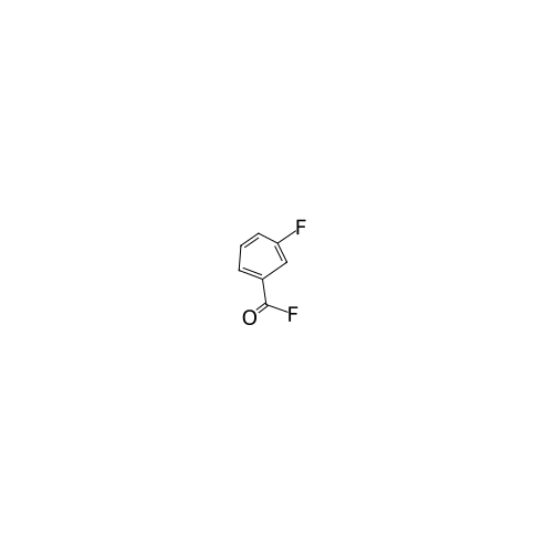 O=C(F)c1cccc(F)c1